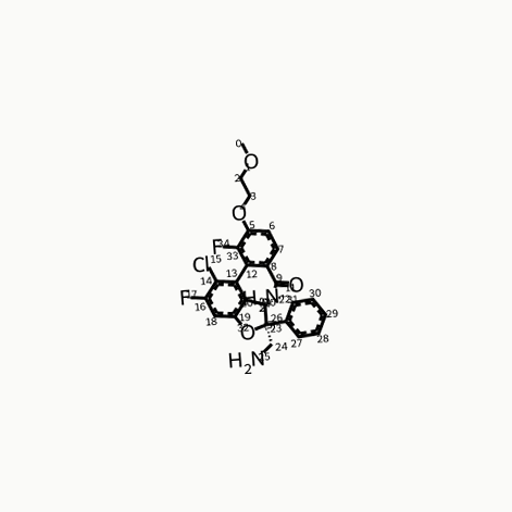 COCCOc1ccc(C(N)=O)c(-c2c(Cl)c(F)cc3c2[C@H](C)[C@@](CN)(c2ccccc2)O3)c1F